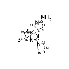 Nc1ccc(-c2nc(N3CCCCC3)nc3c(Br)csc23)cn1